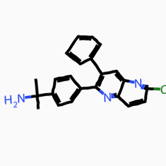 CC(C)(N)c1ccc(-c2nc3ccc(Cl)nc3cc2-c2ccccc2)cc1